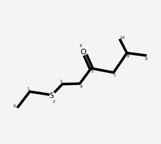 CCSCCC(=O)CC(C)C